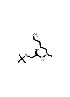 CN(CCCCN)NC(=N)COC(C)(C)C